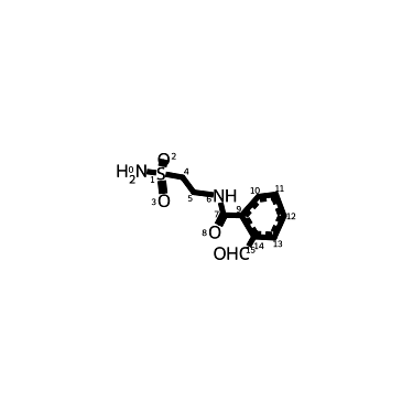 NS(=O)(=O)CCNC(=O)c1ccccc1C=O